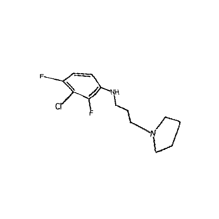 Fc1ccc(NCCCN2CCCC2)c(F)c1Cl